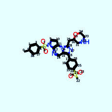 Cc1ccc(S(=O)(=O)n2ccc3c2ncc2c(-c4ccc(S(C)(=O)=O)cc4)nc(CC4CNCCO4)n23)cc1